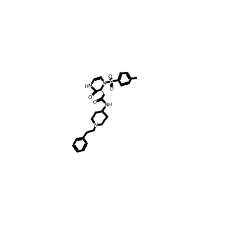 Cc1ccc(S(=O)(=O)N2C=CNC(=O)[C@H]2CC(=O)NC2CCN(CCc3ccccc3)CC2)cc1